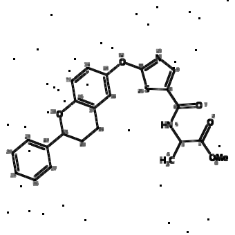 COC(=O)C(C)NC(=O)c1cnc(Oc2ccc3c(c2)CCC(c2ccccc2)O3)s1